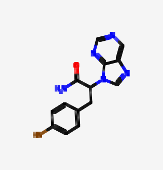 NC(=O)C(Cc1ccc(S)cc1)n1cnc2cncnc21